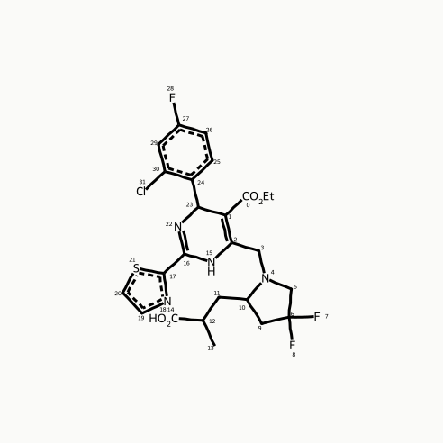 CCOC(=O)C1=C(CN2CC(F)(F)CC2CC(C)C(=O)O)NC(c2nccs2)=NC1c1ccc(F)cc1Cl